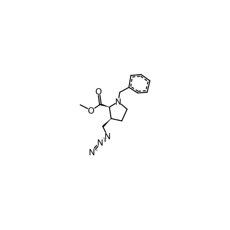 COC(=O)[C@@H]1[C@H](CN=[N+]=[N-])CCN1Cc1ccccc1